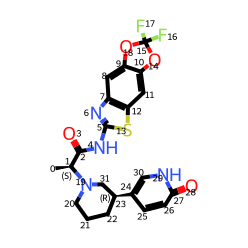 C[C@@H](C(=O)Nc1nc2cc3c(cc2s1)OC(F)(F)O3)N1CCC[C@H](c2ccc(=O)[nH]c2)C1